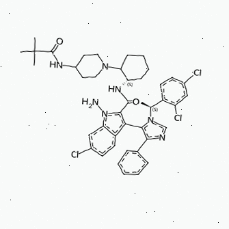 C[C@@H](c1ccc(Cl)cc1Cl)n1cnc(-c2ccccc2)c1-c1c(C(=O)N[C@H]2CCCCC2N2CCC(NC(=O)C(C)(C)C)CC2)n(N)c2cc(Cl)ccc12